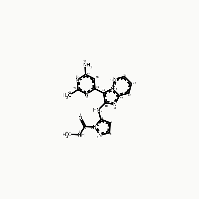 CNC(=O)n1nccc1Nc1nc2cccnn2c1-c1cc(N)nc(C)n1